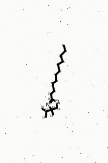 CCCCCCCCCCCC1=NC(C)(C(C)C)CO1